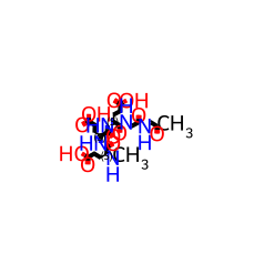 CN[C@@H](CCC(=O)O)C(=O)N[C@@H](CCC(=O)O)C(=O)N[C@@H](CCC(=O)O)C(=O)NCC(=O)NCC(C)=O